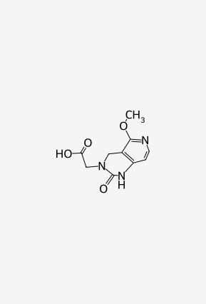 COc1nccc2c1CN(CC(=O)O)C(=O)N2